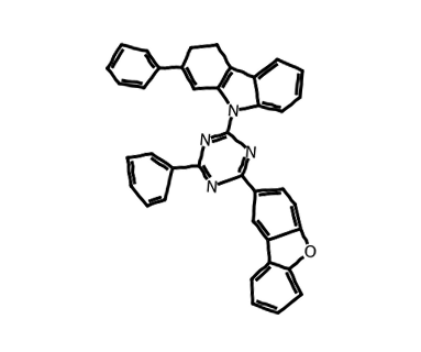 C1=C(c2ccccc2)CCc2c1n(-c1nc(-c3ccccc3)nc(-c3ccc4oc5ccccc5c4c3)n1)c1ccccc21